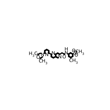 Cc1cc(NC(=O)Cc2cc3nc(-c4cccc(N5C[C@@H](C)O[C@@H](C)C5)n4)ccc3cn2)cc(S(C)(=O)=O)c1